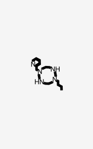 CCCCN1CCCNCCN(Cc2ccccn2)CCCNCC1